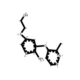 Cc1nnccc1Oc1cc(SCCO)cnc1N